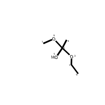 CCOC(C)(O)OC